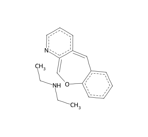 C1=c2cccnc2=COc2ccccc21.CCNCC